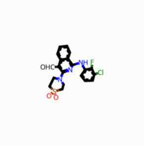 O=Cc1c(N2CCS(=O)(=O)CC2)nc(Nc2cccc(Cl)c2F)c2ccccc12